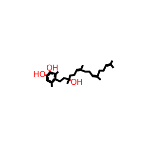 CC(C)=CCCC(C)=CCCC(C)=CCCC(C)(O)CCc1c(C)cc(O)c(O)c1C